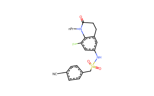 CCCN1C(=O)CCc2cc(NS(=O)(=O)Cc3ccc(C#N)cc3)cc(F)c21